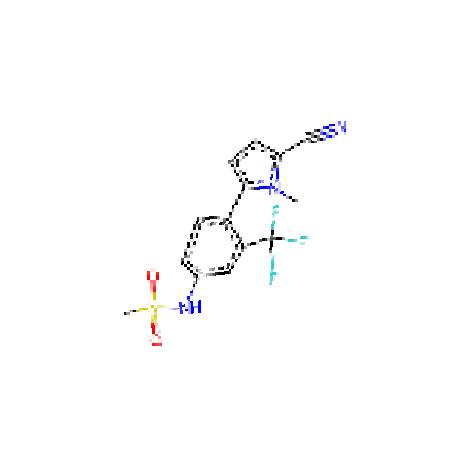 Cn1c(C#N)ccc1-c1ccc(NS(C)(=O)=O)cc1C(F)(F)F